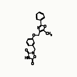 Cc1oc(-c2ccccc2)nc1COc1cccc(Cn2oc(=O)[nH]c2=O)c1